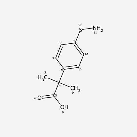 CC(C)(C(=O)O)c1ccc(SN)cc1